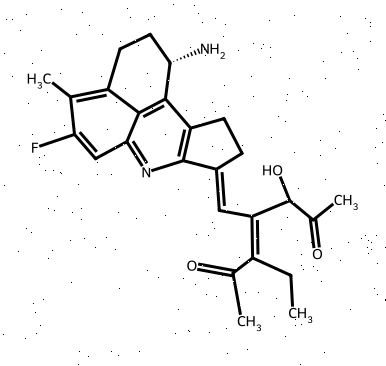 CC/C(C(C)=O)=C(/C=C1\CCc2c1nc1cc(F)c(C)c3c1c2[C@@H](N)CC3)C(O)C(C)=O